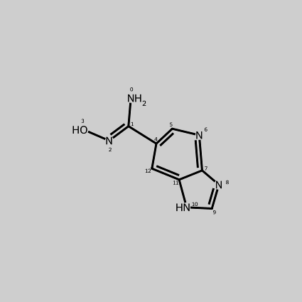 NC(=NO)c1cnc2nc[nH]c2c1